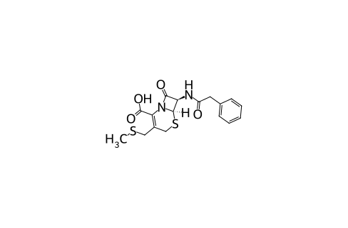 CSCC1=C(C(=O)O)N2C(=O)[C@@H](NC(=O)Cc3ccccc3)[C@H]2SC1